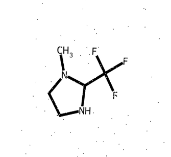 CN1C[CH]NC1C(F)(F)F